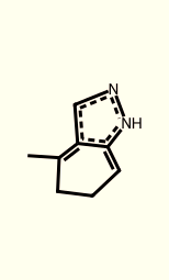 CC1=c2cn[nH]c2=CCC1